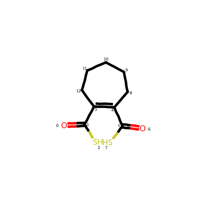 O=C(S)C1=C(C(=O)S)CCCCC1